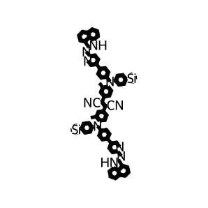 Cc1cc(/C(C#N)=C(\C#N)c2ccc(N(c3ccc(-c4ccc(/N=C5\Nc6cccc7cccc5c67)nc4)cc3)c3ccc([Si](C)(C)C)cc3)c(C)c2)ccc1N(c1ccc(-c2ccc(/N=C3\Nc4cccc5cccc3c45)nc2)cc1)c1ccc([Si](C)(C)C)cc1